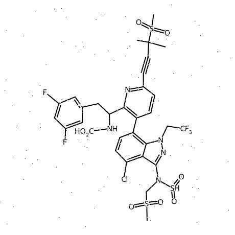 CC(C)(C#Cc1ccc(-c2ccc(Cl)c3c(N(CS(C)(=O)=O)[SH](=O)=O)nn(CC(F)(F)F)c23)c(C(Cc2cc(F)cc(F)c2)NC(=O)O)n1)S(C)(=O)=O